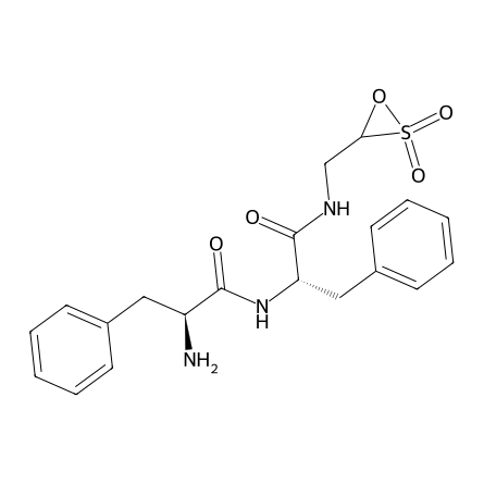 N[C@@H](Cc1ccccc1)C(=O)N[C@@H](Cc1ccccc1)C(=O)NCC1OS1(=O)=O